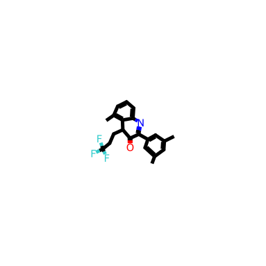 Cc1cc(C)cc(C2=Nc3cccc(C)c3C(CCC(F)(F)F)C2=O)c1